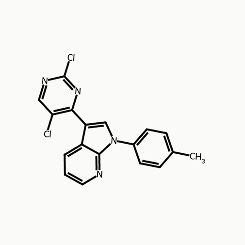 Cc1ccc(-n2cc(-c3nc(Cl)ncc3Cl)c3cccnc32)cc1